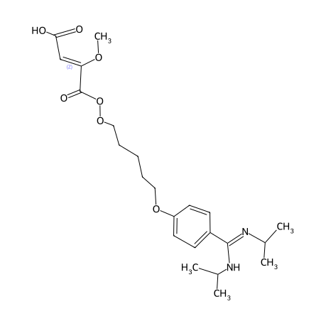 CO/C(=C\C(=O)O)C(=O)OOCCCCCOc1ccc(C(=NC(C)C)NC(C)C)cc1